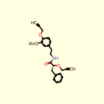 C#CCOc1ccc(CCNC(=O)[C@H](Cc2ccccc2)OCC#C)cc1OC